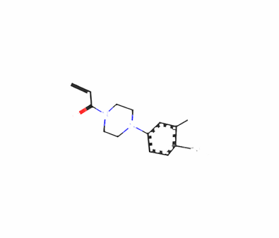 C=CC(=O)N1CCN(c2ccc([N+](=O)[O-])c(C)c2)CC1